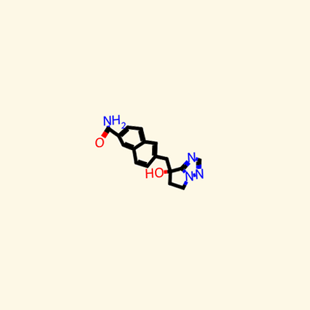 NC(=O)c1ccc2cc(CC3(O)CCn4ncnc43)ccc2c1